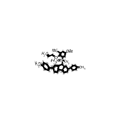 C=CCOc1c(C(C)(C)C)cc(OC)cc1[Si](C)(C)C1c2cc(-c3ccc(C)cc3)ccc2-c2ccc(-c3ccc(C)cc3)cc21